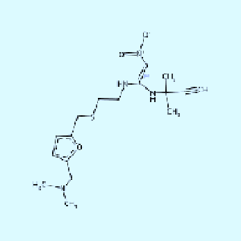 C#CC(C)(C)N/C(=C/[N+](=O)[O-])NCCSCc1ccc(CN(C)C)o1